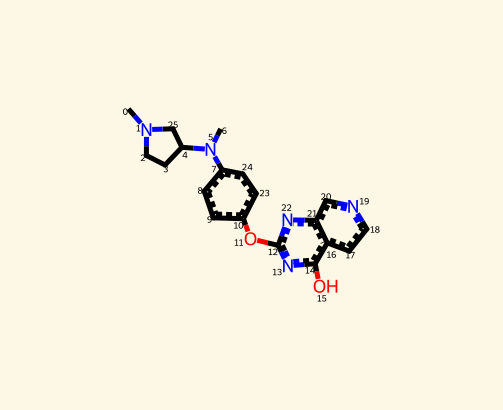 CN1CCC(N(C)c2ccc(Oc3nc(O)c4ccncc4n3)cc2)C1